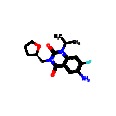 CC(C)n1c(=O)n(C[C@@H]2CCCO2)c(=O)c2cc(N)c(F)cc21